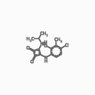 Cc1c(Cl)ccc(Nc2c(NC(C)C)c(=O)c2=O)c1O